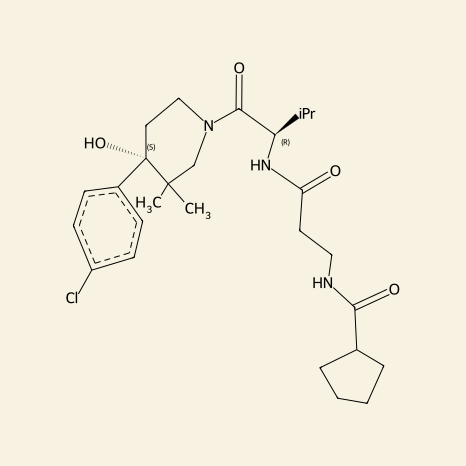 CC(C)[C@@H](NC(=O)CCNC(=O)C1CCCC1)C(=O)N1CC[C@](O)(c2ccc(Cl)cc2)C(C)(C)C1